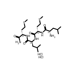 CSCC[C@H](NC(=O)[C@H](CC(C)C)NC(=O)[C@H](CCSC)NC(=O)[C@@H](N)CC(C)C)C(N)=O.Cl.Cl